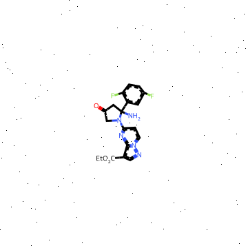 CCOC(=O)c1cnn2ccc(N3CC(=O)CC3(N)c3cc(F)ccc3F)nc12